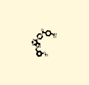 CCNC1CCC(C(=O)N2CCN(c3ncnc4c3cnn4Cc3cccc(OCC)c3)CC2)CC1